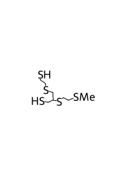 CSCCSC(CS)CSCCS